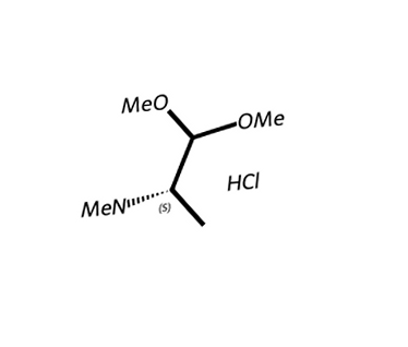 CN[C@@H](C)C(OC)OC.Cl